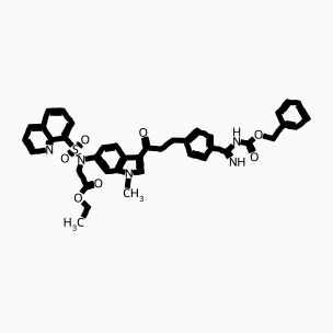 CCOC(=O)CN(c1ccc2c(C(=O)CCc3ccc(C(=N)NC(=O)OCc4ccccc4)cc3)cn(C)c2c1)S(=O)(=O)c1cccc2cccnc12